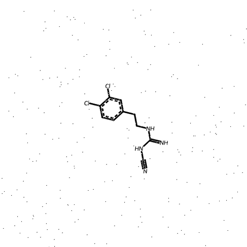 N#CNC(=N)NCCc1ccc(Cl)c(Cl)c1